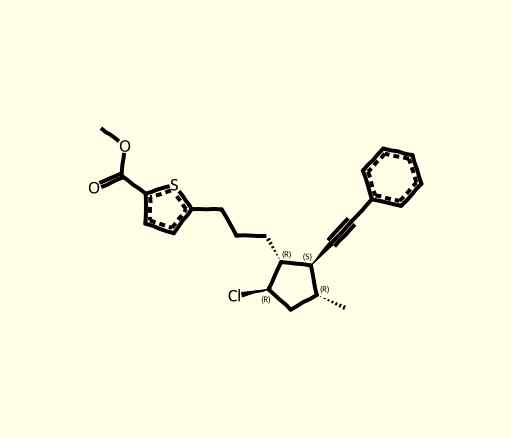 COC(=O)c1ccc(CCC[C@@H]2[C@@H](C#Cc3ccccc3)[C@H](C)C[C@H]2Cl)s1